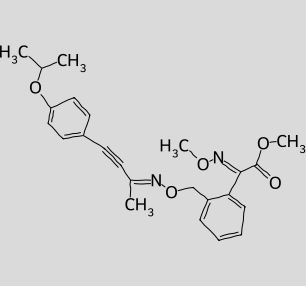 CO/N=C(/C(=O)OC)c1ccccc1CO/N=C(\C)C#Cc1ccc(OC(C)C)cc1